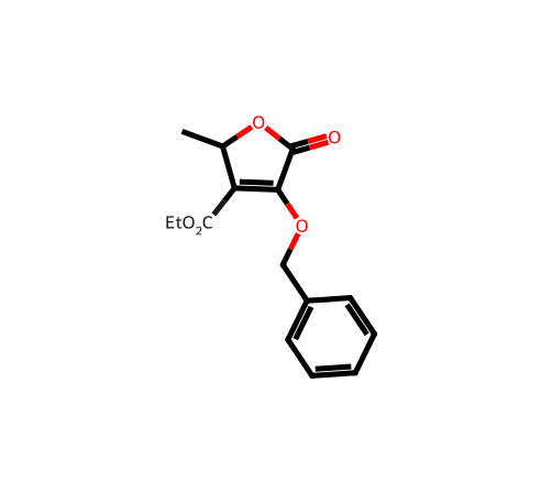 CCOC(=O)C1=C(OCc2ccccc2)C(=O)OC1C